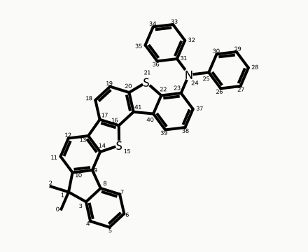 CC1(C)c2ccccc2-c2c1ccc1c2sc2c1ccc1sc3c(N(c4ccccc4)c4ccccc4)cccc3c12